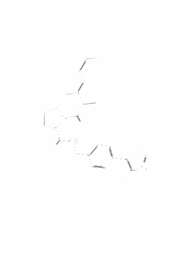 C/C=C\C=C(/C)C(C)C(=O)N1CCCC1C(=O)NCc1ccc(-c2scnc2C)cc1